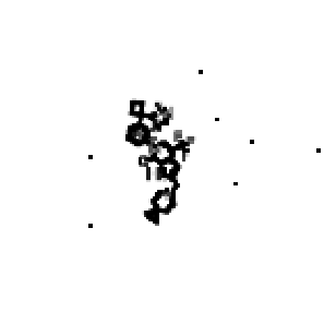 Cn1cnnc1C1(c2cccc(-n3cc(C(F)(F)F)c4cc(CN5CCC6(CC5)CC6)[nH]c4c3=O)c2)CCC1